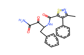 Cc1nsc(C(=O)NC(Cc2ccccc2)C(=O)C(N)=O)c1-c1ccccc1